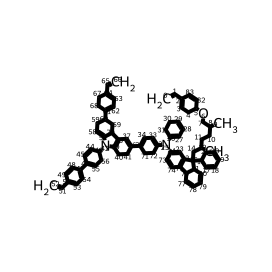 C=CC1=CCC(OCC(C)CCC(C)CC2(C3C=CC=CC3)c3cc(N(C4=CC=CCC4)C4=CC=C(C5=CC6=C(CC5)N(C5C=CC(c7ccc(C=C)cc7)=CC5)C5=CCC(C7=CC=C(C=C)CC7)CC56)CC4)ccc3C3C=CC=CC32)C=C1